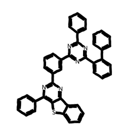 c1ccc(-c2nc(-c3cccc(-c4nc(-c5ccccc5)c5sc6ccccc6c5n4)c3)nc(-c3ccccc3-c3ccccc3)n2)cc1